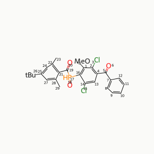 COc1c(Cl)c(C(=O)c2ccccc2)cc(Cl)c1[PH](=O)C(=O)c1c(C)cc(C(C)(C)C)cc1C